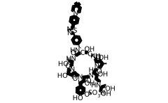 C[C@@H](O)[C@@H]1NC(=O)[C@@H](NC[C@H]2CC[C@H](c3nnc(-c4ccc(N5CCC(C)(C)CC5)cc4)s3)CC2)C[C@@H](O)CNC(=O)[C@@H]2[C@@H](O)[C@@H](C)CN2C(=O)[C@H]([C@H](O)CCNC(CO)CO)NC(=O)[C@H]([C@H](O)Cc2ccc(O)c(OS(=O)(=O)O)c2)NC(=O)[C@@H]2C[C@@H](O)CN2C1=O